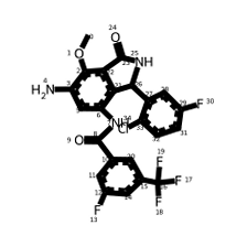 COc1c(N)cc(NC(=O)c2cc(F)cc(C(F)(F)F)c2)c2c1C(=O)NC2c1cc(F)ccc1Cl